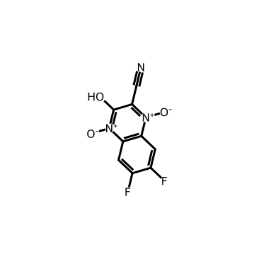 N#Cc1c(O)[n+]([O-])c2cc(F)c(F)cc2[n+]1[O-]